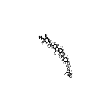 CCC1(COCCOc2ccc(C(=O)Oc3ccc4c(c3)C(C)c3cc(C(=O)Oc5cc(F)c(C#N)c(F)c5)ccc3-4)cc2)COC1